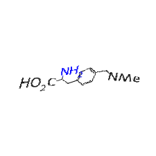 CNCc1ccc(CC(N)C(=O)O)cc1